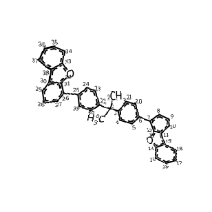 CC(C)(c1ccc(-c2cccc3c2oc2ccccc23)cc1)c1ccc(-c2cccc3c2oc2ccccc23)cc1